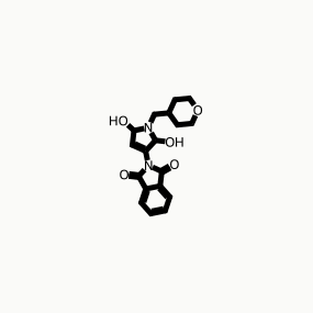 O=C1c2ccccc2C(=O)N1C1=CC(O)N(CC2CCOCC2)C1O